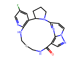 O=C1NCCCNc2ncc(F)cc2C2CCCN2c2ccn3ncc1c3n2